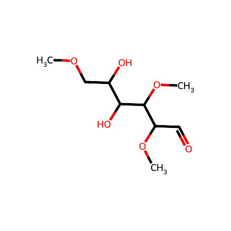 COCC(O)C(O)C(OC)C(C=O)OC